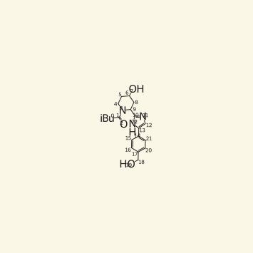 CCC(C)C(=O)N1CCC(O)CC1c1ncc(-c2ccc(CO)cc2)[nH]1